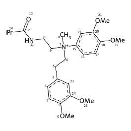 COc1ccc(CC[N+](C)(CCNC(=O)C(C)C)c2ccc(OC)c(OC)c2)cc1OC